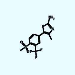 Cc1nc(N)sc1-c1ccc(S(C)(=O)=O)c(C(F)(F)F)c1